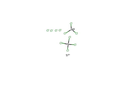 Cl[SiH](Cl)Cl.Cl[Si](Cl)(Cl)Cl.[Cl-].[Cl-].[Cl-].[Cl-].[Ti+4]